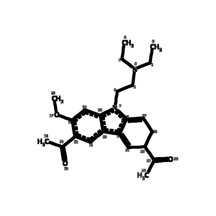 CCN(CC)CCn1c2c(c3cc(C(C)=O)c(OC)cc31)=CC(C(C)=O)CC=2